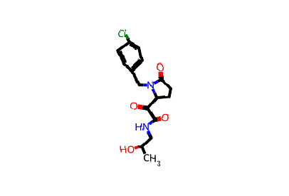 CC(O)CNC(=O)C(=O)C1CCC(=O)N1Cc1ccc(Cl)cc1